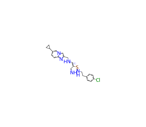 N=C/C(=C\NCc1cn2cc(C3CC3)ccc2n1)SNCCc1ccc(Cl)cc1